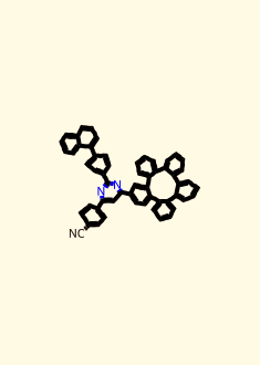 N#Cc1ccc(-c2cc(-c3ccc4c5ccccc5c5ccccc5c5ccccc5c5ccccc5c4c3)nc(-c3ccc(-c4cccc5ccccc45)cc3)n2)cc1